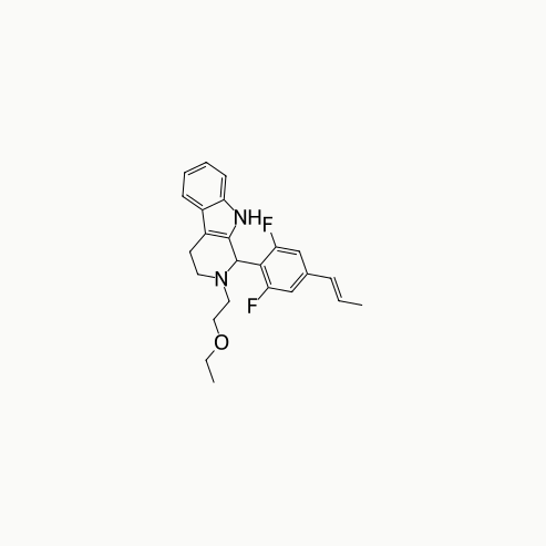 C/C=C/c1cc(F)c(C2c3[nH]c4ccccc4c3CCN2CCOCC)c(F)c1